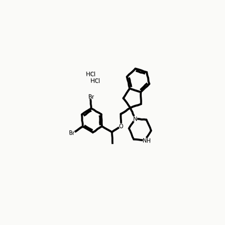 CC(OCC1(N2CCNCC2)Cc2ccccc2C1)c1cc(Br)cc(Br)c1.Cl.Cl